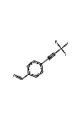 O=Cc1ccc(C#CC(F)(F)F)cc1